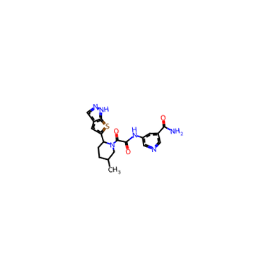 CC1CCC(c2cc3cn[nH]c3s2)N(C(=O)C(=O)Nc2cncc(C(N)=O)c2)C1